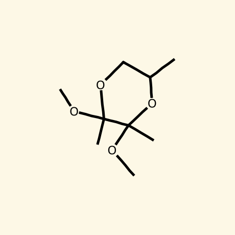 COC1(C)OCC(C)OC1(C)OC